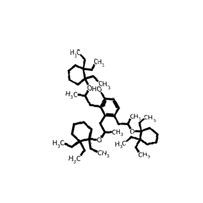 CCC1(CC)CCCCC1(CC)OC(C)Cc1ccc(O)c(CC(C)OC2(CC)CCCCC2(CC)CC)c1CC(C)OC1(CC)CCCCC1(CC)CC